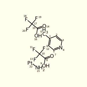 Cc1ccncc1.O=C(O)C(F)(F)F.O=C(O)C(F)(F)F.[NH2][Pt]